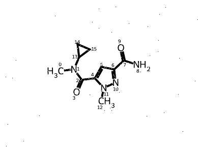 CN(C(=O)c1cc(C(N)=O)nn1C)C1CC1